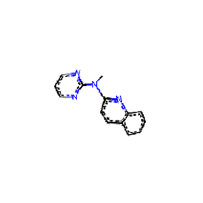 CN(c1ccc2ccccc2n1)c1ncccn1